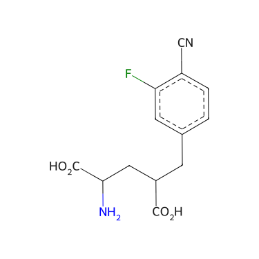 N#Cc1ccc(CC(CC(N)C(=O)O)C(=O)O)cc1F